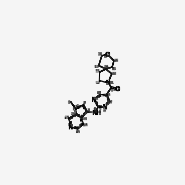 Cn1cc(Nc2ncc(C(=O)N3CCC4(CCOCC4)C3)cn2)c2ccncc21